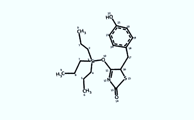 CCC[Si](CCC)(CCC)OC1=NC(=O)SC1Cc1ccc(O)cc1